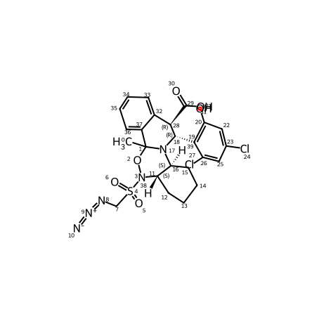 CC12ON(S(=O)(=O)CN=[N+]=[N-])[C@H]3CCCC[C@@H]3N1[C@@H](c1c(O)cc(Cl)cc1Cl)[C@H](C(=O)O)c1ccccc12